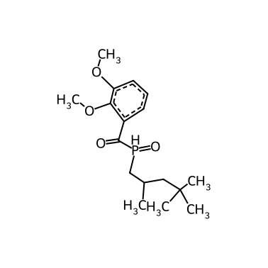 COc1cccc(C(=O)[PH](=O)CC(C)CC(C)(C)C)c1OC